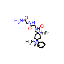 CCCN1C(=O)N(CC(=O)NCC(N)=O)CC12CCC(c1ccccc1)(N(C)C)CC2